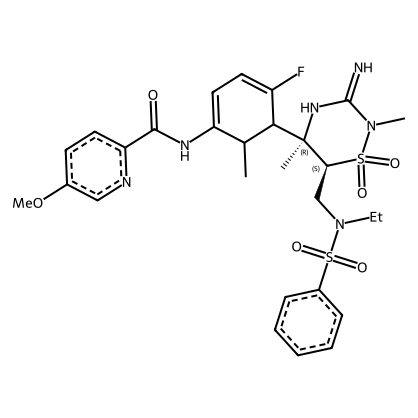 CCN(C[C@H]1[C@@](C)(C2C(F)=CC=C(NC(=O)c3ccc(OC)cn3)C2C)NC(=N)N(C)S1(=O)=O)S(=O)(=O)c1ccccc1